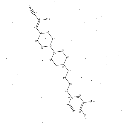 N#CC(F)=CC1CCC(C2CCC(CCCCc3ccc(F)c(F)c3)CC2)CC1